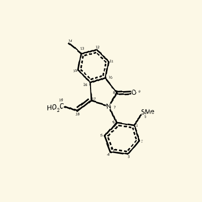 CSc1ccccc1N1C(=O)c2ccc(C)cc2/C1=C\C(=O)O